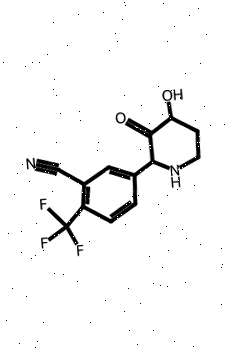 N#Cc1cc(C2NCCC(O)C2=O)ccc1C(F)(F)F